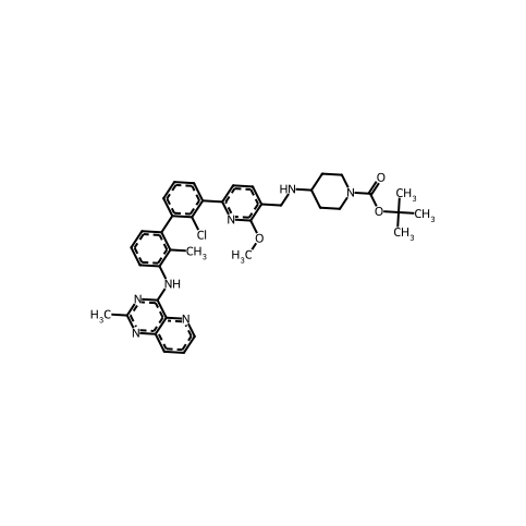 COc1nc(-c2cccc(-c3cccc(Nc4nc(C)nc5cccnc45)c3C)c2Cl)ccc1CNC1CCN(C(=O)OC(C)(C)C)CC1